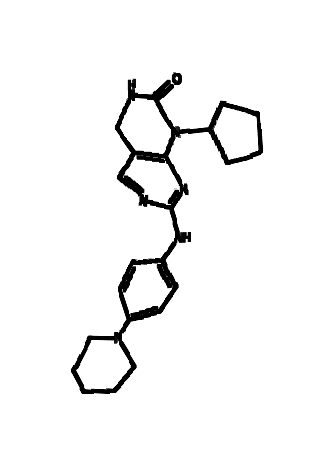 O=C1NCc2cnc(Nc3ccc(N4CCCCC4)cc3)nc2N1C1CCCC1